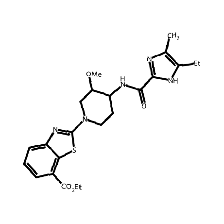 CCOC(=O)c1cccc2nc(N3CCC(NC(=O)c4nc(C)c(CC)[nH]4)C(OC)C3)sc12